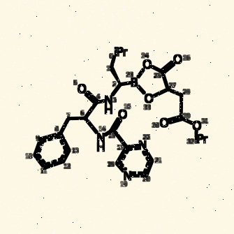 CC(C)C[C@H](NC(=O)C(Cc1ccccc1)NC(=O)c1cnccn1)B1OC(=O)C(CC(=O)OC(C)C)O1